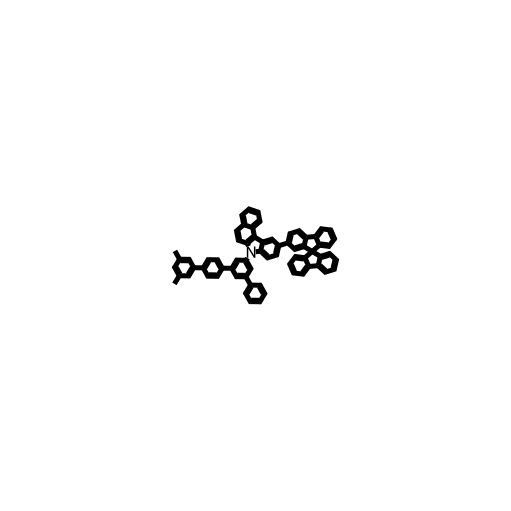 Cc1cc(C)cc(-c2ccc(-c3cc(-c4ccccc4)cc(-n4c5ccc(-c6ccc7c(c6)C6(c8ccccc8-c8ccccc86)c6ccccc6-7)cc5c5c6ccccc6ccc54)c3)cc2)c1